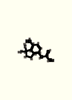 CCC(C)C(=O)Oc1ccc(O)c2c1CCC2(F)F